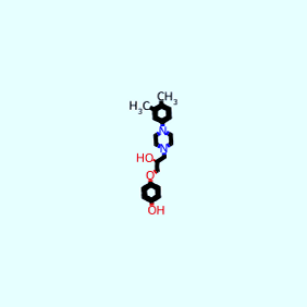 Cc1ccc(N2CCN(C[C@H](O)COc3ccc(O)cc3)CC2)cc1C